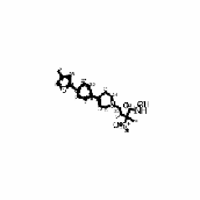 Cc1csc(-c2ccc(C3=CCN(CCC(C)(C(=O)NO)[S+](C)[O-])CC3)cc2)c1